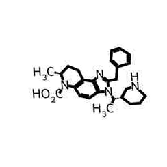 CC([C@H]1CCCNC1)n1c(Cc2ccccc2)nc2c3c(ccc21)N(C(=O)O)[C@@H](C)CC3